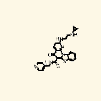 O=C(NCc1ccncc1)c1c(=O)c2ccc(NCCNC3CC3)nc2n2c1sc1ccccc12